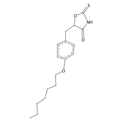 CCCCCCCOc1ccc(CC2OC(=S)NC2=O)cc1